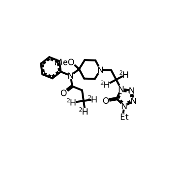 [2H]C([2H])([2H])CC(=O)N(c1ccccc1)C1(OC)CCN(CC([2H])([2H])n2nnn(CC)c2=O)CC1